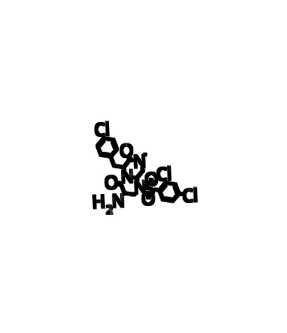 CN1CC2N(C(=O)C(N)CN2S(=O)(=O)c2ccc(Cl)cc2Cl)C(Cc2ccc(Cl)cc2)C1=O